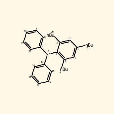 CCCCc1cc(CCCC)c([S+](c2ccccc2)c2ccccc2)c(CCCC)c1